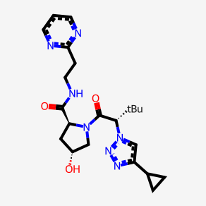 CC(C)(C)[C@@H](C(=O)N1C[C@H](O)C[C@H]1C(=O)NCCc1ncccn1)n1cc(C2CC2)nn1